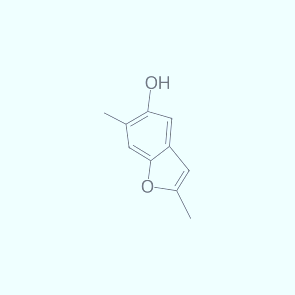 Cc1cc2cc(O)c(C)cc2o1